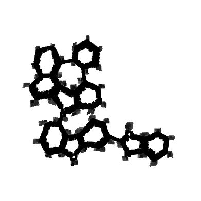 c1ccc2c(c1)-c1cccc3ccc4c(c13)c1c-2cccc1n4-c1cccc2oc3cc(-c4nc5ccccc5o4)ccc3c12